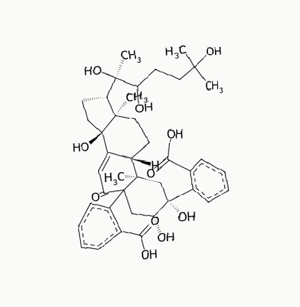 CC(C)(O)CCC(O)[C@](C)(O)[C@H]1CC[C@@]2(O)C3=CC(=O)C4(c5ccccc5C(=O)O)C[C@@H](O)[C@](O)(c5ccccc5C(=O)O)C[C@]4(C)[C@H]3CC[C@]12C